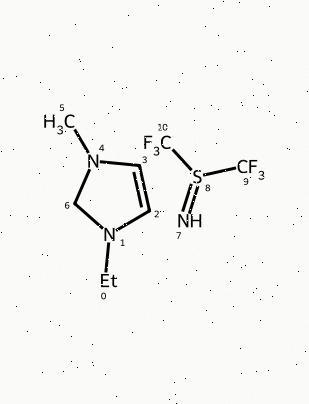 CCN1C=CN(C)C1.N=S(C(F)(F)F)C(F)(F)F